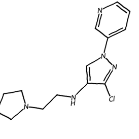 Clc1nn(-c2cccnc2)cc1NCCN1CCCC1